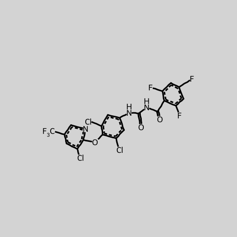 O=C(NC(=O)c1c(F)cc(F)cc1F)Nc1cc(Cl)c(Oc2ncc(C(F)(F)F)cc2Cl)c(Cl)c1